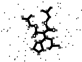 CC(C)COC(=O)C(C(=O)OCC(C)C)C(CC(C)C)C1CCCC1